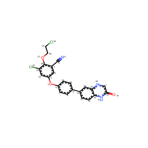 N#Cc1cc(Oc2ccc(-c3ccc4[nH]c(=O)cnc4c3)cc2)cc(Cl)c1OCCCl